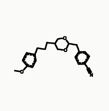 COc1ccc(CCCC2COC(Cc3ccc(C#N)cc3)OC2)cc1